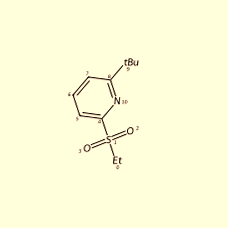 CCS(=O)(=O)c1cccc(C(C)(C)C)n1